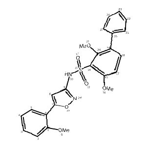 COc1ccccc1-c1cc(NS(=O)(=O)c2c(OC)ccc(-c3ccccc3)c2OC)no1